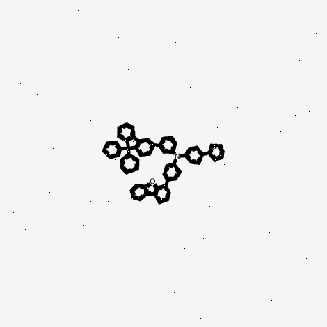 c1ccc(-c2ccc(N(c3ccc(-c4cccc5c4oc4ccccc45)cc3)c3cccc(-c4ccc5c(c4)-c4ccccc4C5(c4ccccc4)c4ccccc4)c3)cc2)cc1